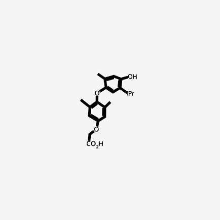 Cc1cc(O)c(C(C)C)cc1Oc1c(C)cc(OCC(=O)O)cc1C